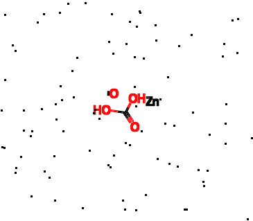 O=C(O)O.[O].[Zn]